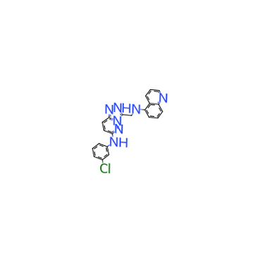 Clc1cccc(Nc2ccc3nnc(CNc4cccc5ncccc45)n3n2)c1